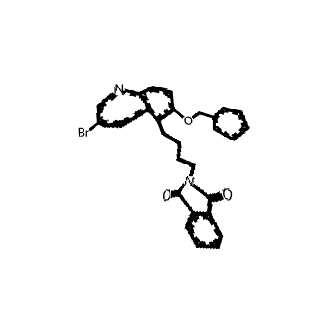 O=C1c2ccccc2C(=O)N1CCCCc1c(OCc2ccccc2)ccc2ncc(Br)cc12